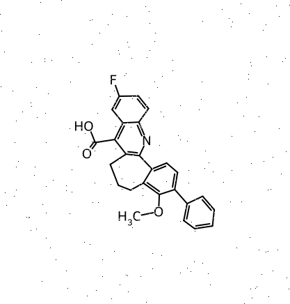 COc1c(-c2ccccc2)ccc2c1CCCc1c-2nc2ccc(F)cc2c1C(=O)O